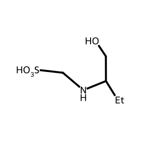 CCC(CO)NCS(=O)(=O)O